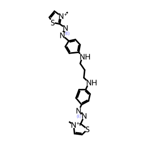 C[n+]1ccsc1/N=N/c1ccc(NCCCNc2ccc(/N=N/c3scc[n+]3C)cc2)cc1